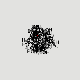 CCC1(C)CC(O)C(C)C(C)(CC)N1OC(C)C(=O)OCC(OC(=O)C(C)ON1C(C)(CC)CC(O)C(C)C1(C)CC)C(OC(=O)C(C)ON1C(C)(CC)CC(O)C(C)C1(C)CC)C(OC(=O)C(C)ON1C(C)(CC)CC(O)C(C)C1(C)CC)C(COC(=O)C(C)ON1C(C)(CC)CC(O)C(C)C1(C)CC)OC(=O)C(C)ON1C(C)(CC)CC(O)C(C)C1(C)CC